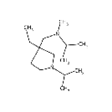 CCC1(CN(C)C(C)C)CCN(C(C)C)C1